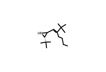 CCCC/C(=C\C1N[C@H]1C(C)(C)C)C(C)(C)C